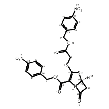 O=C(CSC1=C(C(=O)OCc2ccc([N+](=O)[O-])cc2)N2C(=O)C[C@@H]2S1)OCc1ccc([N+](=O)[O-])cc1